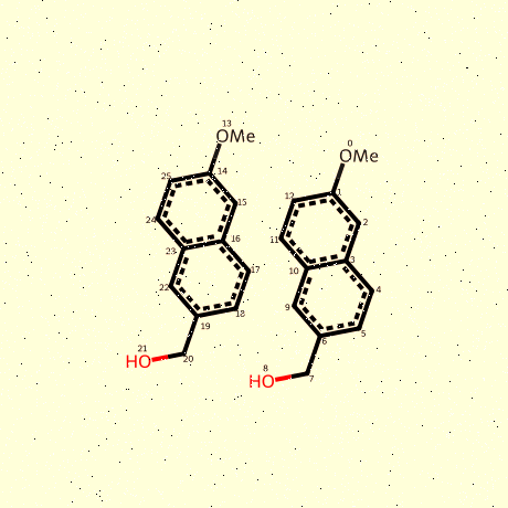 COc1[c]c2ccc(CO)cc2cc1.COc1[c]c2ccc(CO)cc2cc1